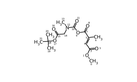 COC(=O)/C=C(\C)C(=O)OC(=O)N(C)CC(=O)OC(C)(C)C